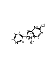 Clc1ccc2nc(-c3cccnc3)sc2n1.[Ar]